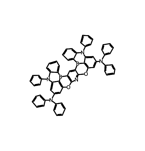 c1ccc(N(c2ccccc2)c2cc3c4c(c2)N(c2ccccc2)c2ccccc2B4c2cc4c(nc2O3)Oc2cc(N(c3ccccc3)c3ccccc3)cc3c2B4c2ccccc2N3c2ccccc2)cc1